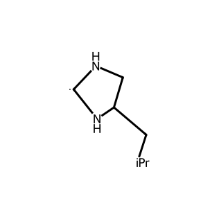 CC(C)CC1CN[CH]N1